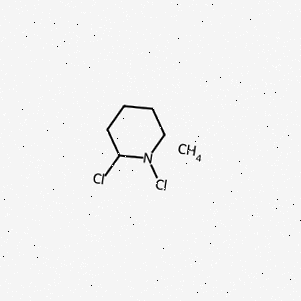 C.ClC1CCCCN1Cl